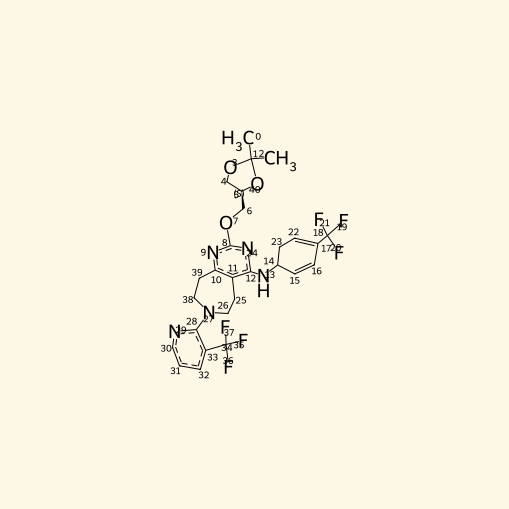 CC1(C)OC[C@H](COc2nc3c(c(NC4C=CC(C(F)(F)F)=CC4)n2)CCN(c2ncccc2C(F)(F)F)CC3)O1